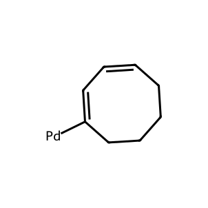 [Pd][C]1=CC=CCCCC1